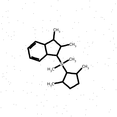 CC1CCC(C)C1[Si](C)(C)C1C(C)C(C)C2C=CC=CC21